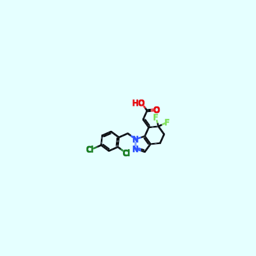 O=C(O)C=C1c2c(cnn2Cc2ccc(Cl)cc2Cl)CCC1(F)F